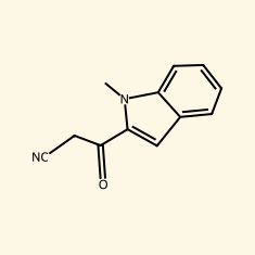 Cn1c(C(=O)CC#N)cc2ccccc21